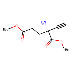 C#C[C@](N)(CCC(=O)OC(C)(C)C)C(=O)OC(C)(C)C